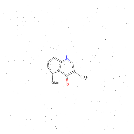 COc1cccc2[nH]cc(C(=O)O)c(=O)c12